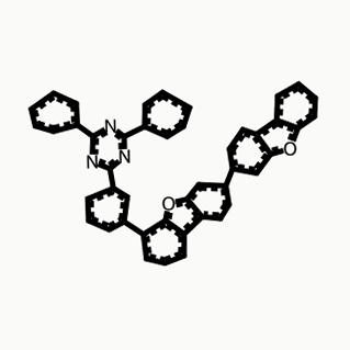 c1ccc(-c2nc(-c3ccccc3)nc(-c3cccc(-c4cccc5c4oc4cc(-c6ccc7c(c6)oc6ccccc67)ccc45)c3)n2)cc1